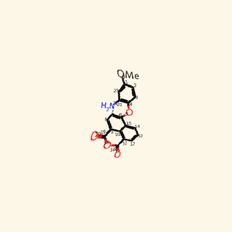 COc1ccc(Oc2ccc3c4c(cccc24)C(=O)OC3=O)c(N)c1